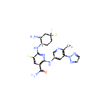 Cc1ncc(Nc2nc(N[C@@H]3CCC(F)(F)C[C@@H]3N)c(F)cc2C(N)=O)cc1-n1nccn1